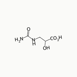 NC(=O)NCC(O)C(=O)O